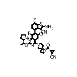 CC(Oc1nc(N2CCC3(CCN3C(=O)[C@@H]3C[C@H]3C#N)C2)c2cc(Cl)c(-c3ccc(F)c4sc(N)c(C#N)c34)c(F)c2n1)[C@@H]1CCCN1C